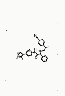 Cc1c(-c2ccc(NC(=O)C(NCC(C)C3=CCC(C#N)C=C3)c3ccccc3)nc2)cnn1C